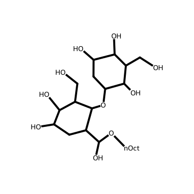 CCCCCCCCOC(O)C1CC(O)C(O)C(CO)C1OC1CC(O)C(O)C(CO)C1O